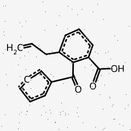 C=CCc1cccc(C(=O)O)c1C(=O)c1ccccc1